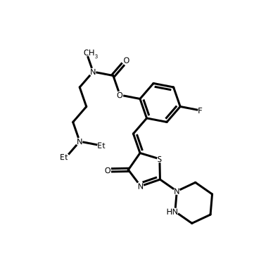 CCN(CC)CCCN(C)C(=O)Oc1ccc(F)cc1/C=C1\SC(N2CCCCN2)=NC1=O